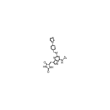 CN(Cc1ccc(-n2ccnc2)cc1)c1nc(NC2CC2)n2ncc(/C=C3\NC(=O)NC3=O)c2n1